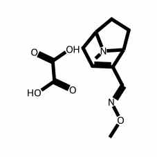 CON=CC1=CCC2CCC1N2C.O=C(O)C(=O)O